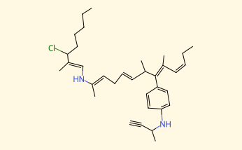 C#CC(C)Nc1ccc(/C(=C(C)\C=C/CC)C(C)C=CC/C=C(\C)N/C=C(\C)C(Cl)CCCCC)cc1